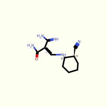 N#C[C@H]1CCCC[C@@H]1N/C=C(\C(=N)N)C(N)=O